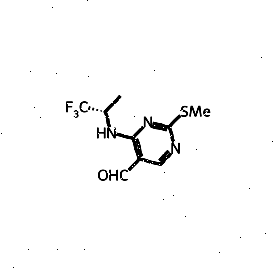 CSc1ncc(C=O)c(N[C@@H](C)C(F)(F)F)n1